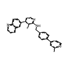 Cc1cc(-c2ccc(CNc3nccc(-c4ccc5ncccc5c4)c3F)cc2)ccn1